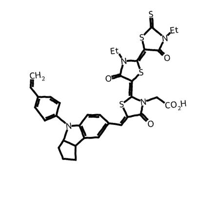 C=Cc1ccc(N2c3ccc(/C=c4\s/c(=c5/s/c(=C6/SC(=S)N(CC)C6=O)n(CC)c5=O)n(CC(=O)O)c4=O)cc3C3CCCC32)cc1